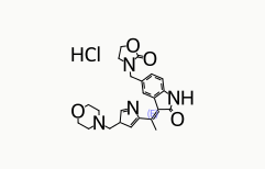 C/C(C1=CC(CN2CCOCC2)C=N1)=C1\C(=O)Nc2ccc(CN3CCOC3=O)cc21.Cl